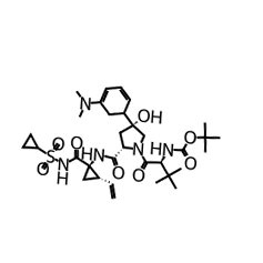 C=C[C@@H]1C[C@]1(NC(=O)[C@@H]1C[C@@](O)(C2C=CC=C(N(C)C)C2)CN1C(=O)[C@@H](NC(=O)OC(C)(C)C)C(C)(C)C)C(=O)NS(=O)(=O)C1CC1